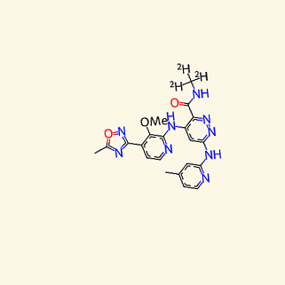 [2H]C([2H])([2H])NC(=O)c1nnc(Nc2cc(C)ccn2)cc1Nc1nccc(-c2noc(C)n2)c1OC